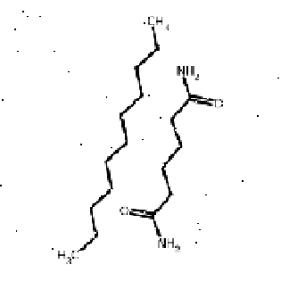 CCCCCCCCCCC.NC(=O)CCCCC(N)=O